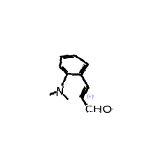 CN(C)c1ccccc1/C=C/[C]=O